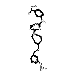 CNC(=O)c1cccc(Nc2ncnc(N3CCC(OCc4cccc(OC(F)(F)F)c4)CC3)n2)c1